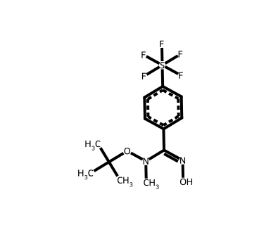 CN(OC(C)(C)C)/C(=N\O)c1ccc(S(F)(F)(F)(F)F)cc1